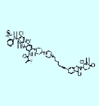 C=C(F)C(=O)Nc1cc(Nc2ncc(Cl)c(Nc3ccccc3P(C)(C)=O)n2)c(OC)cc1N1CCC(N2CCN(CCCCC#Cc3ccc4c(c3)CN(C3CCC(=O)NC3=O)C4=O)CC2)CC1